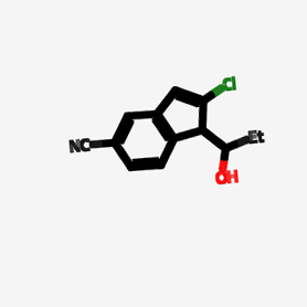 CCC(O)C1C(Cl)=Cc2cc(C#N)ccc21